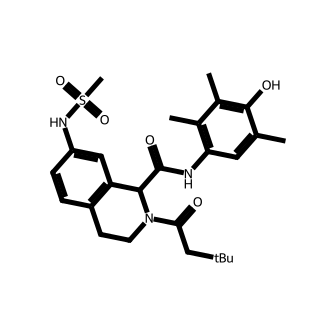 Cc1cc(NC(=O)C2c3cc(NS(C)(=O)=O)ccc3CCN2C(=O)CC(C)(C)C)c(C)c(C)c1O